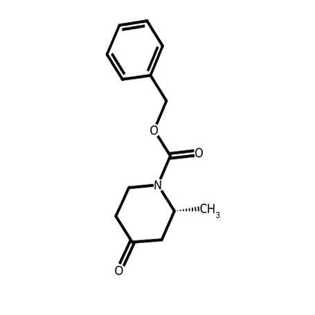 C[C@@H]1CC(=O)CCN1C(=O)OCc1ccccc1